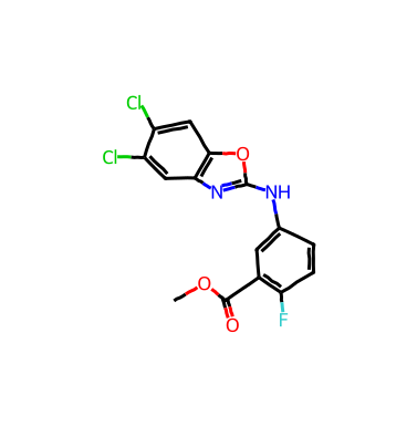 COC(=O)c1cc(Nc2nc3cc(Cl)c(Cl)cc3o2)ccc1F